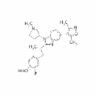 COc1ccc(C[C@H](C)c2nc3cc(-c4c(C)noc4C)ccc3n2C2CCN(C)C2)cc1F